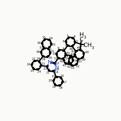 CC1(C)c2cccc(-c3ccc(-c4nc(-c5ccccc5)cc(-c5ccccc5-c5ccc6ccccc6c5)n4)c4ccccc34)c2-c2c1ccc1ccccc21